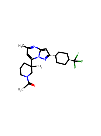 CC(=O)N1CCC[C@](C)(c2cc(C)nc3cc([C@H]4CC[C@H](C(F)(F)F)CC4)nn23)C1